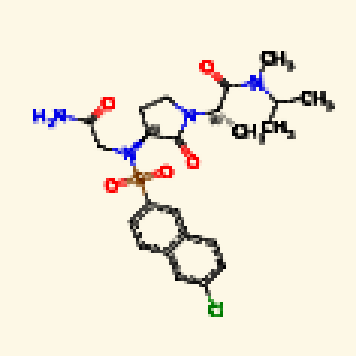 CC(C)N(C)C(=O)[C@H](C)N1CC[C@H](N(CC(N)=O)S(=O)(=O)c2ccc3cc(Cl)ccc3c2)C1=O